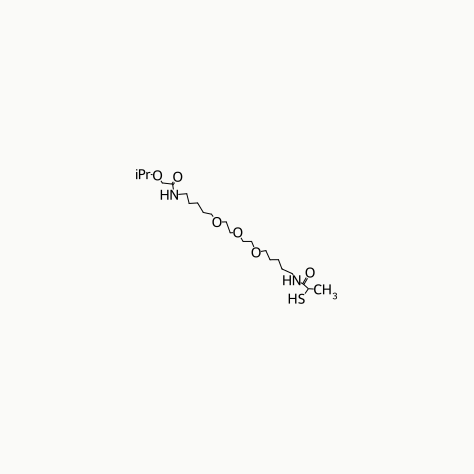 CC(C)OCC(=O)NCCCCCOCCOCCOCCCCCNC(=O)C(C)S